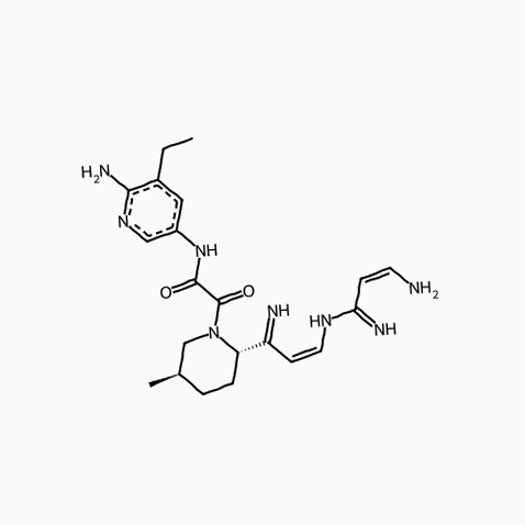 CCc1cc(NC(=O)C(=O)N2C[C@H](C)CC[C@H]2C(=N)/C=C\NC(=N)/C=C\N)cnc1N